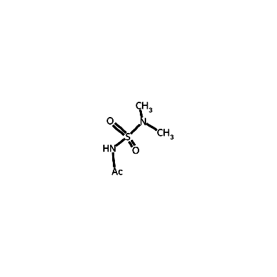 CC(=O)NS(=O)(=O)N(C)C